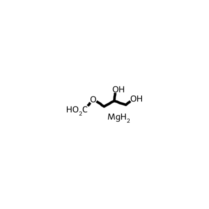 O=C(O)OCC(O)CO.[MgH2]